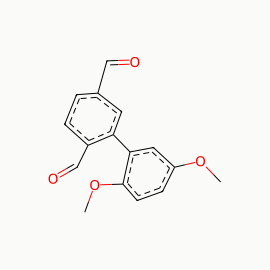 COc1ccc(OC)c(-c2cc(C=O)ccc2C=O)c1